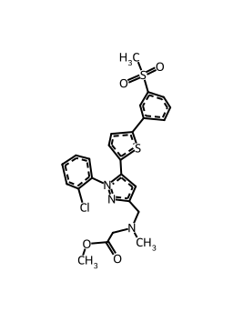 COC(=O)CN(C)Cc1cc(-c2ccc(-c3cccc(S(C)(=O)=O)c3)s2)n(-c2ccccc2Cl)n1